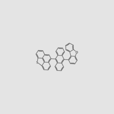 c1ccc2c(c1)oc1cccc(-c3c4ccccc4c(-c4cc5cccc6sc7cccc4c7c56)c4ccccc34)c12